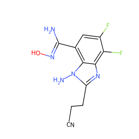 N#CCCc1nc2c(F)c(F)cc(C(N)=NO)c2n1N